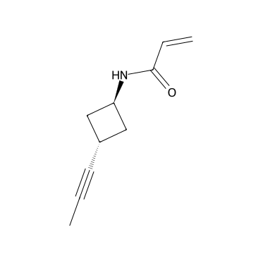 C=CC(=O)N[C@H]1C[C@H](C#CC)C1